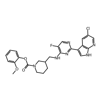 COc1ccccc1OC(=O)N1CCCC(CNc2nc(-c3c[nH]c4ncc(Cl)cc34)ncc2F)C1